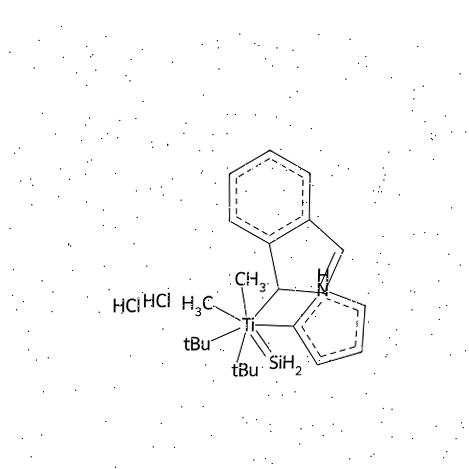 C[C](C)(C)[Ti]([CH3])([CH3])(=[SiH2])([c]1ccc[nH]1)([CH]1C=Cc2ccccc21)[C](C)(C)C.Cl.Cl